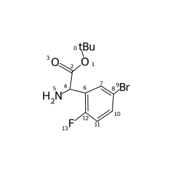 CC(C)(C)OC(=O)C(N)c1cc(Br)ccc1F